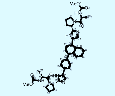 COC(=O)NC(C(=O)N1CCC[C@H]1c1ncc(-c2ccc(-c3ccc(-c4cnc([C@@H]5CCCN5C(=O)[C@@H](NC(=O)OC)C(C)C)[nH]4)cc3)c3ccccc23)[nH]1)C(C)C